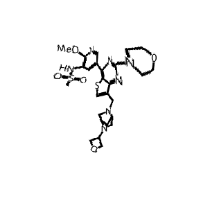 COc1ncc(-c2nc(N3CCOCC3)nc3c(CN4CC5CC4CN5C4COC4)csc23)cc1NS(C)(=O)=O